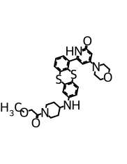 COCC(=O)N1CCC(Nc2ccc3c(c2)Sc2cccc(-c4cc(N5CCOCC5)cc(=O)[nH]4)c2S3)CC1